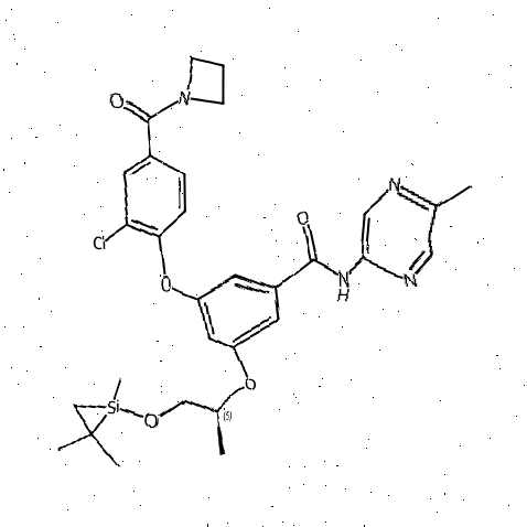 Cc1cnc(NC(=O)c2cc(Oc3ccc(C(=O)N4CCC4)cc3Cl)cc(O[C@@H](C)CO[Si]3(C)CC3(C)C)c2)cn1